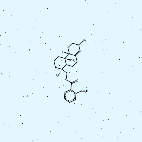 CC(C)C1C=C2CCC3[C@@](C)(COC(=O)c4ccccc4C(=O)O)CCC[C@]3(C)[C@@H]2CC1